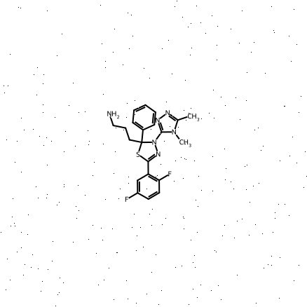 Cc1nnc(N2N=C(c3cc(F)ccc3F)SC2(CCCN)c2ccccc2)n1C